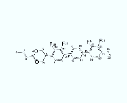 C/C=C/C1OCC(c2ccc(-c3ccc(-c4ccc(CC)c(F)c4F)cc3)c(F)c2F)CO1